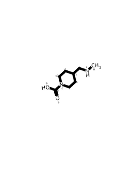 CNCC1CCN(C(=O)O)CC1